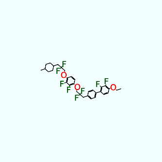 CCOc1ccc(-c2ccc(CC(F)(F)COc3ccc(OCC(F)(F)CC4CCC(C)CC4)c(F)c3F)cc2)c(F)c1F